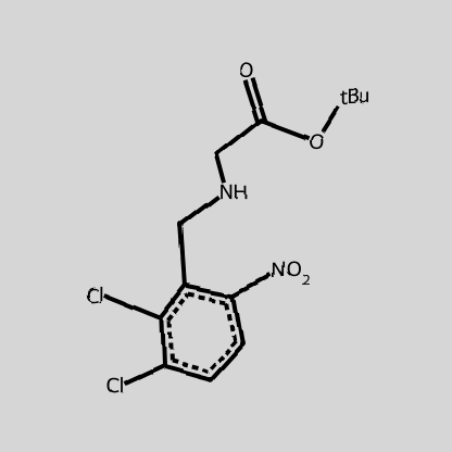 CC(C)(C)OC(=O)CNCc1c([N+](=O)[O-])ccc(Cl)c1Cl